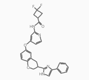 O=C(Nc1cc(Oc2ccc3c(c2)CC(c2nc(-c4ccccc4)c[nH]2)CO3)ccn1)C1CC(F)(F)C1